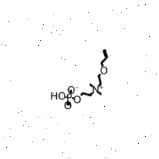 C=CCOCC[N+](C)(C)CCOP(=O)([O-])O